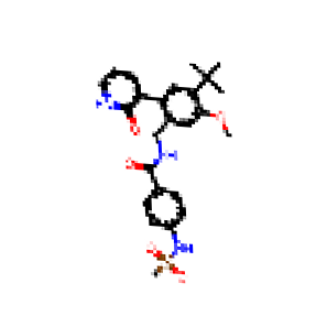 COc1cc(CNC(=O)c2ccc(NS(C)(=O)=O)cc2)c(-c2ccc[nH]c2=O)cc1C(C)(C)C